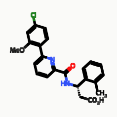 COc1cc(Cl)ccc1-c1cccc(C(=O)N[C@@H](CC(=O)O)c2ccccc2C)n1